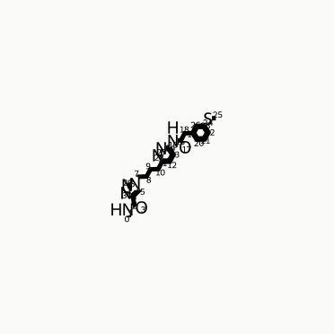 CNC(=O)c1cn(CCCCc2ccc(NC(=O)Cc3cccc(SC)c3)nn2)nn1